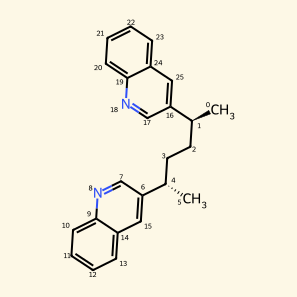 C[C@@H](CC[C@H](C)c1cnc2ccccc2c1)c1cnc2ccccc2c1